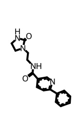 O=C(NCCN1CCNC1=O)c1ccc(-c2ccccc2)nc1